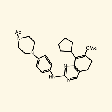 COC1=C(C2CCCC2)c2nc(Nc3ccc(N4CCN(C(C)=O)CC4)cc3)ncc2CC1